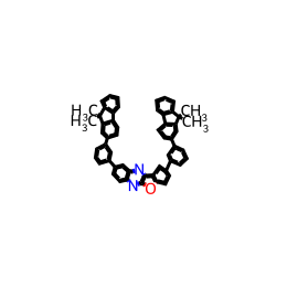 CC1(C)c2ccccc2-c2ccc(-c3cccc(-c4ccc5nc6oc7ccc(-c8cccc(-c9ccc%10c(c9)C(C)(C)c9ccccc9-%10)c8)cc7c6nc5c4)c3)cc21